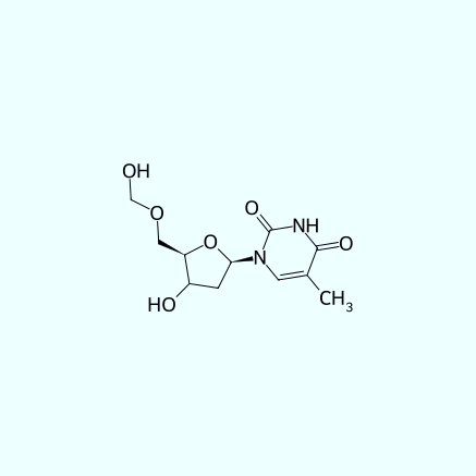 Cc1cn([C@H]2CC(O)[C@@H](COCO)O2)c(=O)[nH]c1=O